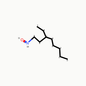 CCCCCC(CC)CCN=O